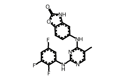 Cc1cnc(Nc2cc(F)cc(F)c2F)nc1Nc1ccc2oc(=O)[nH]c2c1